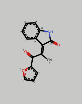 N#CC(C(=O)c1ccco1)=C1C(=O)Nc2ccccc21